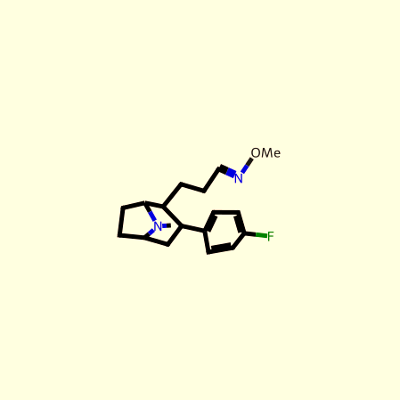 CON=CCCC1C(c2ccc(F)cc2)CC2CCC1N2C